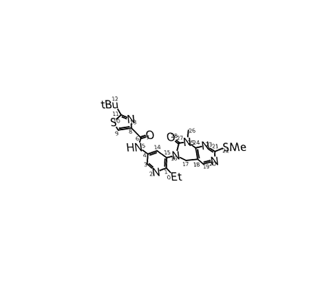 CCc1ncc(NC(=O)c2csc(C(C)(C)C)n2)cc1N1Cc2cnc(SC)nc2N(C)C1=O